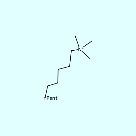 [CH2][N+](C)(C)CCCCCCCCCC